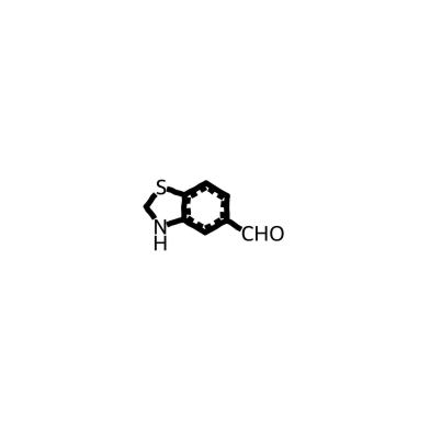 O=Cc1ccc2c(c1)NCS2